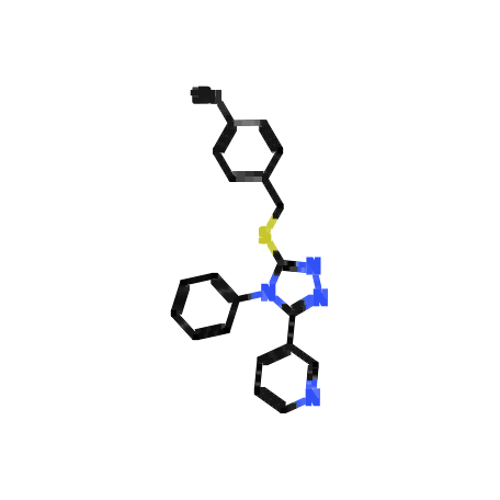 CC(C)(C)c1ccc(CSc2nnc(-c3cccnc3)n2-c2ccccc2)cc1